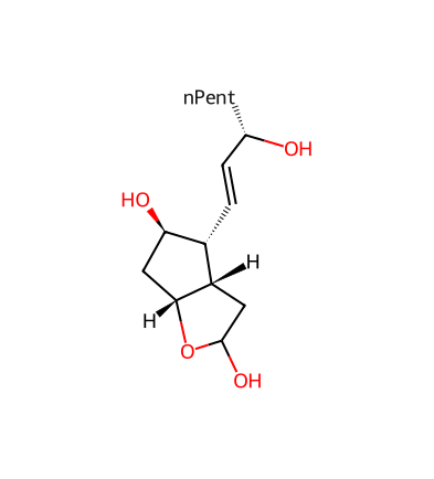 CCCCC[C@H](O)/C=C/[C@@H]1[C@@H]2CC(O)O[C@@H]2C[C@H]1O